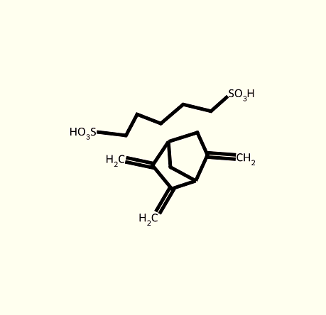 C=C1C(=C)C2CC1CC2=C.O=S(=O)(O)CCCCCS(=O)(=O)O